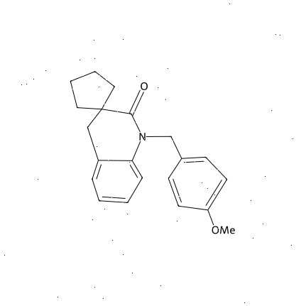 COc1ccc(CN2C(=O)C3(CCCC3)Cc3ccccc32)cc1